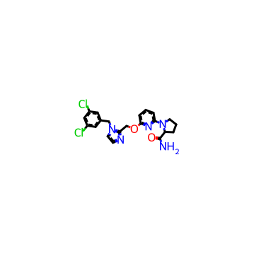 NC(=O)C1CCCN1c1cccc(OCc2nccn2Cc2cc(Cl)cc(Cl)c2)n1